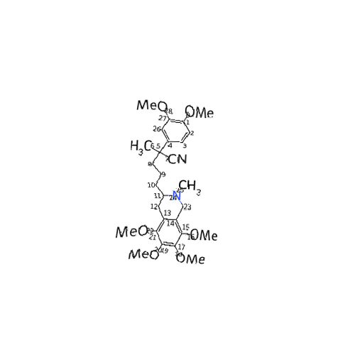 COc1ccc(C(C)(C#N)CCCC2Cc3c(c(OC)c(OC)c(OC)c3OC)CN2C)cc1OC